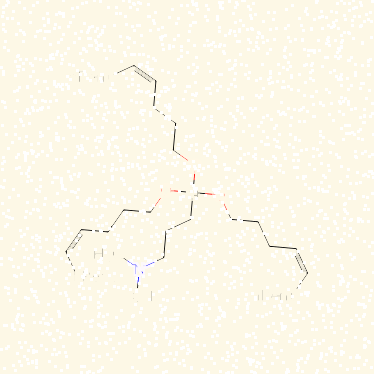 CCCCC/C=C\CCCO[Si](CCCN(C)C)(OCCC/C=C\CCCCC)OCCC/C=C\CCCCC